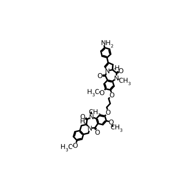 COc1ccc2c(c1)CN1C(=O)c3cc(OC)c(OCCCOc4cc5c(cc4OC)C(=O)N4C=C(c6ccc(N)cc6)C[C@H]4C(=O)N5C)cc3N(C)C(=O)[C@@H]1C2